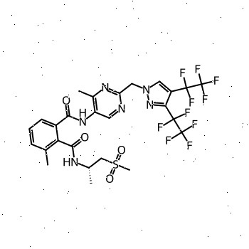 Cc1cccc(C(=O)Nc2cnc(Cn3cc(C(F)(F)C(F)(F)F)c(C(F)(F)C(F)(F)F)n3)nc2C)c1C(=O)N[C@@H](C)CS(C)(=O)=O